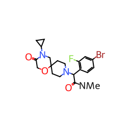 CNC(=O)C(c1ccc(Br)cc1F)N1CCC2(CC1)CN(C1CC1)C(=O)CO2